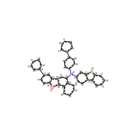 c1ccc(-c2ccc(N(c3ccc4c(c3)sc3ccccc34)c3cc4c5cc(-c6ccccc6)ccc5oc4c4ccccc34)cc2)cc1